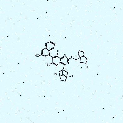 CCc1cc2c(N3C[C@H]4CC[C@@H](C3)N4)nc(OC[C@@]34CCCN3C[C@H](F)C4)nc2c(F)c1-c1cc(O)cc2ccccc12